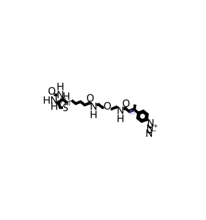 C/C(=C\C(=O)NCCOCCNC(=O)CCCC[C@@H]1SC[C@@H]2NC(=O)N[C@@H]21)c1ccc(N=[N+]=[N-])cc1